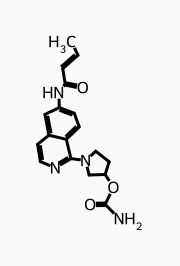 CC=CC(=O)Nc1ccc2c(N3CCC(OC(N)=O)C3)nccc2c1